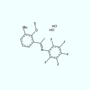 CC(=Nc1c(F)c(F)c(F)c(F)c1F)c1cccc(C(C)(C)C)c1[O][Ti].Cl.Cl